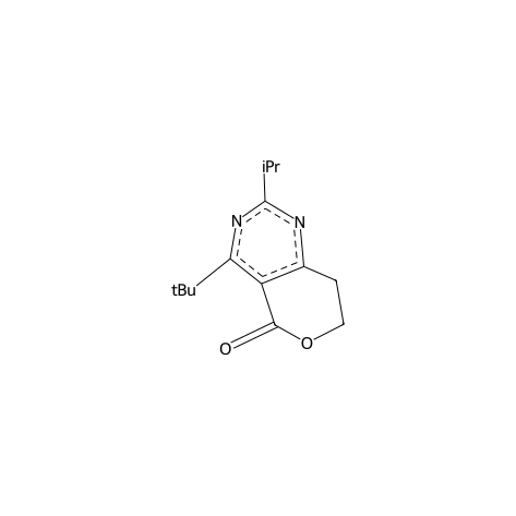 CC(C)c1nc2c(c(C(C)(C)C)n1)C(=O)OCC2